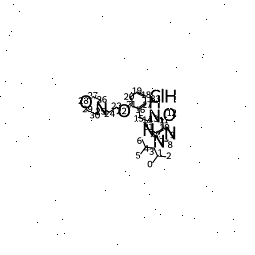 CC(C)C(C(C)C)n1cnc2c(=O)[nH]c(Cc3ccccc3OCCN3CCOCC3)nc21.Cl